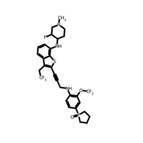 CN1CCC(Nc2cccc3c(CC(F)(F)F)c(C#CCNc4ccc(P5(=O)CCCC5)cc4OC(F)(F)F)sc23)C(F)C1